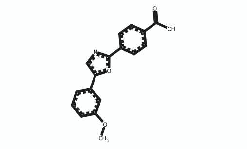 COc1cccc(-c2cnc(-c3ccc(C(=O)O)cc3)o2)c1